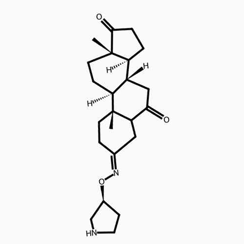 C[C@]12CC/C(=N\O[C@H]3CCNC3)CC1C(=O)C[C@@H]1[C@@H]2CC[C@]2(C)C(=O)CC[C@@H]12